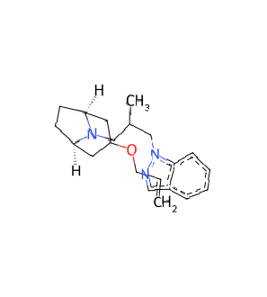 C=CCOC1C[C@H]2CC[C@@H](C1)N2CC(C)Cn1ncc2ccccc21